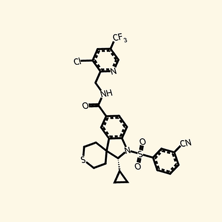 N#Cc1cccc(S(=O)(=O)N2c3ccc(C(=O)NCc4ncc(C(F)(F)F)cc4Cl)cc3C3(CCSCC3)[C@H]2C2CC2)c1